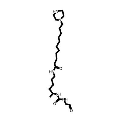 CC(CCCCNC(=O)CCCCCCCCCCN1CCNCC1)NC(=O)NCC=O